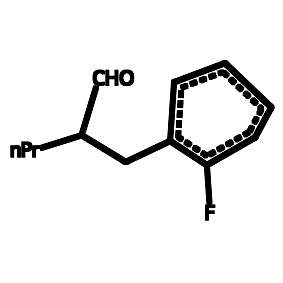 CCCC(C=O)Cc1ccccc1F